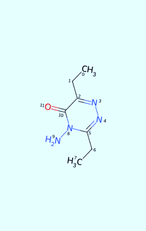 CCc1nnc(CC)n(N)c1=O